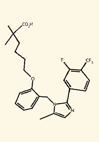 Cc1cnc(-c2ccc(C(F)(F)F)c(F)c2)n1Cc1ccccc1OCCCCC(C)(C)C(=O)O